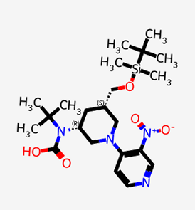 CC(C)(C)N(C(=O)O)[C@@H]1C[C@H](CO[Si](C)(C)C(C)(C)C)CN(c2ccncc2[N+](=O)[O-])C1